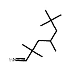 CC(CC(C)(C)C)CC(C)(C)C=N